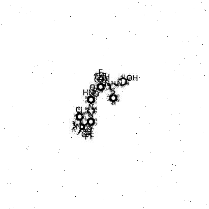 Cc1c(S(=O)(=O)C(F)(F)F)c(-c2cccc(N3CCN(c4ccc(NS(=O)(=O)c5ccc(N[C@H](CCN6CCC(O)CC6)CSc6ccccc6)c(S(=O)(=O)C(F)(F)F)c5)cc4)CC3)c2)c(-c2ccc(Cl)cc2)n1C(C)C